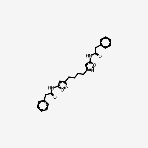 O=C(Cc1ccccc1)Nc1cc(CCCCc2cc(NC(=O)Cc3ccccc3)on2)no1